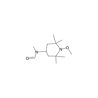 CON1C(C)(C)CC(N(C)C=O)CC1(C)C